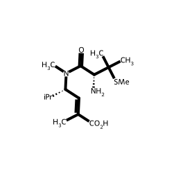 CSC(C)(C)[C@H](N)C(=O)N(C)[C@H](C=C(C)C(=O)O)C(C)C